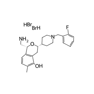 Br.Br.Cc1ccc2c(c1O)C[C@@H](C1CCN(Cc3ccccc3F)CC1)O[C@H]2CN